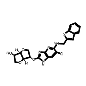 O[C@@H]1CO[C@H]2[C@@H]1OC[C@H]2Oc1nc2nc(NCc3cc4ccccc4s3)c(Cl)cc2[nH]1